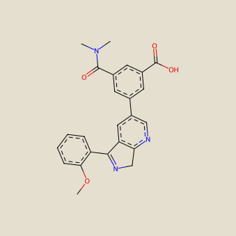 COc1ccccc1C1=NCc2ncc(-c3cc(C(=O)O)cc(C(=O)N(C)C)c3)cc21